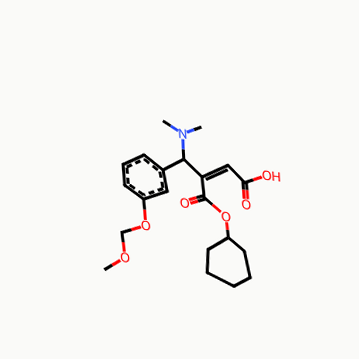 COCOc1cccc(C(/C(=C/C(=O)O)C(=O)OC2CCCCC2)N(C)C)c1